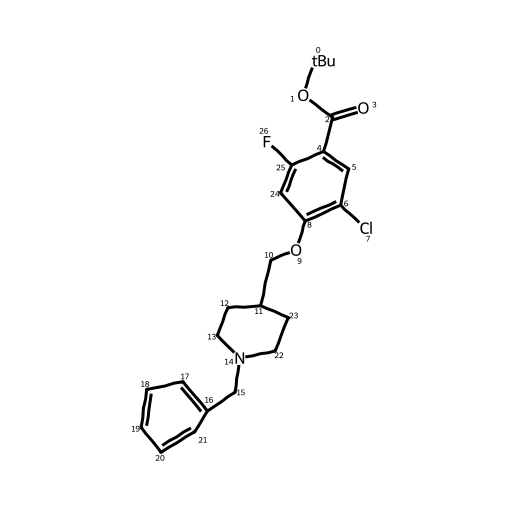 CC(C)(C)OC(=O)c1cc(Cl)c(OCC2CCN(Cc3ccccc3)CC2)cc1F